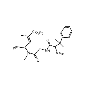 CCC[C@@H](/C=C(\C)C(=O)OCC)N(C)C(=O)CNC(=O)C(NC)C(C)(C)c1ccccc1